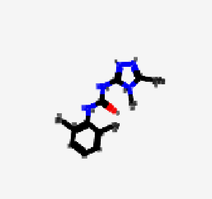 CSc1nnc(NC(=O)Nc2c(C(C)C)cccc2C(C)C)n1C(C)=O